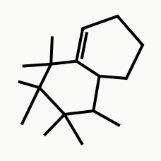 CC1C2CCCC=C2C(C)(C)C(C)(C)C1(C)C